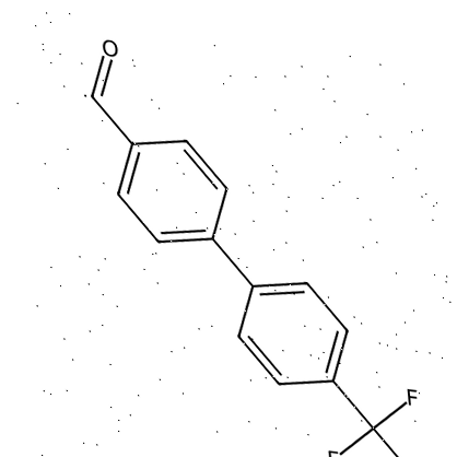 O=[C]c1ccc(-c2ccc(C(F)(F)F)cc2)cc1